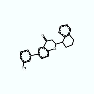 N#Cc1cccc(-c2ccc3c(c2)C(=O)CC(C2CCCc4ccccc42)O3)c1